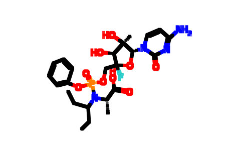 CCC(CC)N([C@@H](C)C(=O)O)[P@@](=O)(OC[C@@]1(F)O[C@@H](n2ccc(N)nc2=O)[C@](C)(O)[C@@H]1O)Oc1ccccc1